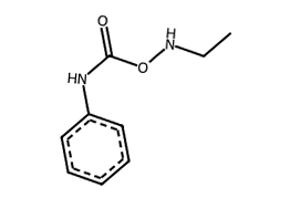 CCNOC(=O)Nc1ccccc1